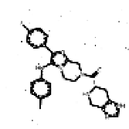 Cc1ccc(Nc2c(-c3ccc(F)cc3)nc3n2CCN(C(=O)[C@@H]2Cc4[nH]cnc4CN2)C3)cc1